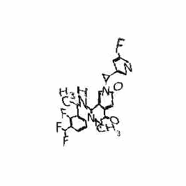 C[C@@H](Nc1nn(C)c(=O)c2cc(=O)n([C@@H]3C[C@H]3c3cncc(F)c3)cc12)c1cccc(C(F)F)c1F